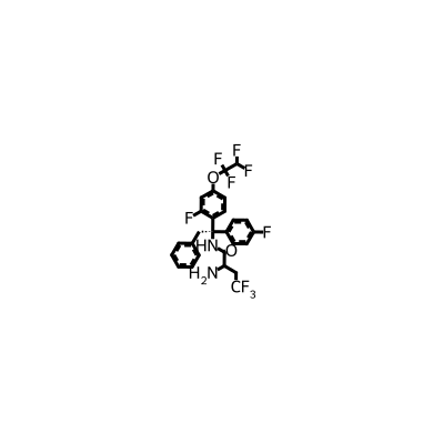 NC(CC(F)(F)F)C(=O)N[C@](Cc1ccccc1)(c1ccc(F)cc1)c1ccc(OC(F)(F)C(F)F)cc1F